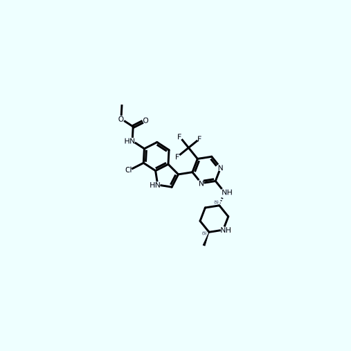 COC(=O)Nc1ccc2c(-c3nc(N[C@H]4CC[C@H](C)NC4)ncc3C(F)(F)F)c[nH]c2c1Cl